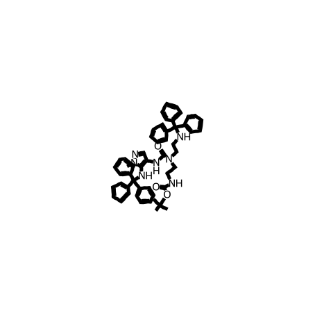 Cn1ncc(NC(=O)N(CCNC(=O)OC(C)(C)C)CCNC(c2ccccc2)(c2ccccc2)c2ccccc2)c1NC(c1ccccc1)(c1ccccc1)c1ccccc1